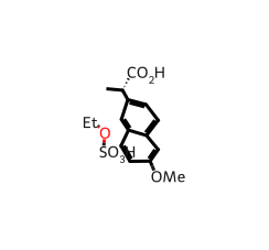 CCOS(=O)(=O)O.COc1ccc2cc([C@H](C)C(=O)O)ccc2c1